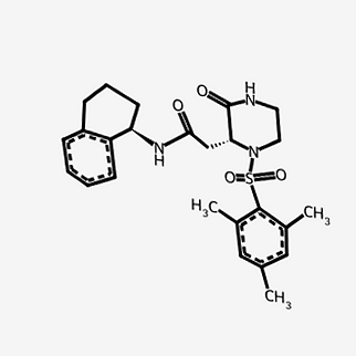 Cc1cc(C)c(S(=O)(=O)N2CCNC(=O)[C@H]2CC(=O)N[C@@H]2CCCc3ccccc32)c(C)c1